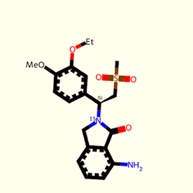 CCOc1cc([C@@H](CS(C)(=O)=O)[15N]2Cc3cccc(N)c3C2=O)ccc1OC